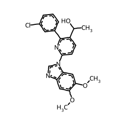 COc1cc2ncn(-c3ccc(C(C)O)c(-c4cccc(Cl)c4)n3)c2cc1OC